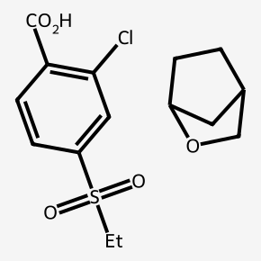 C1CC2CC1CO2.CCS(=O)(=O)c1ccc(C(=O)O)c(Cl)c1